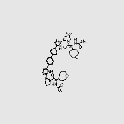 COC(=O)N[C@@H](C(=O)N1CCC[C@@H]1c1ncc(-c2ccc(-c3ccc(-c4cnc([C@H]5CS(C)(C)CN5C(=O)[C@H](NC(=O)OC)C5CCCOCC5)[nH]4)cc3)cc2)[nH]1)C1CCCOCC1